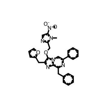 Cn1c([N+](=O)[O-])cnc1COc1c(Cc2ccco2)nc2c(Cc3ccccc3)nc(-c3ccccc3)cn12